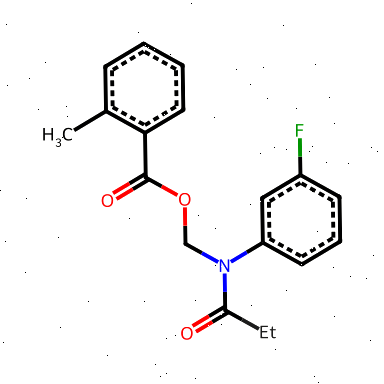 CCC(=O)N(COC(=O)c1ccccc1C)c1cccc(F)c1